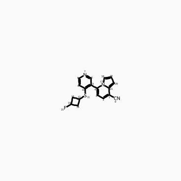 N#Cc1ccc(-c2cnccc2SC2CC(F)C2)n2cccc12